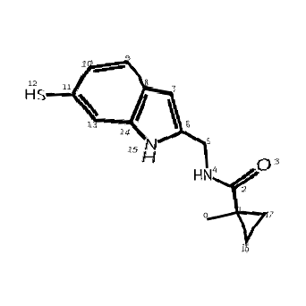 CC1(C(=O)NCc2cc3ccc(S)cc3[nH]2)CC1